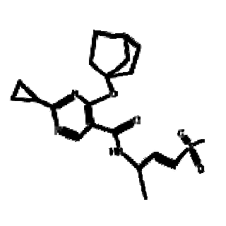 CC(C=CS(C)(=O)=O)NC(=O)c1cnc(C2CC2)nc1OC12CCC(CC1)C2